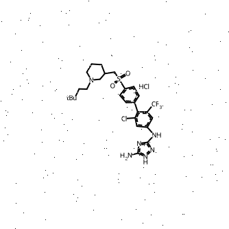 CC(C)(C)CCN1CCCC(CS(=O)(=O)c2ccc(-c3c(Cl)cc(Nc4n[nH]c(N)n4)cc3C(F)(F)F)cc2)C1.Cl